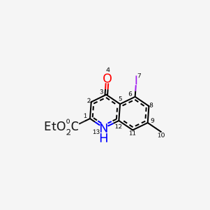 CCOC(=O)c1cc(=O)c2c(I)cc(C)cc2[nH]1